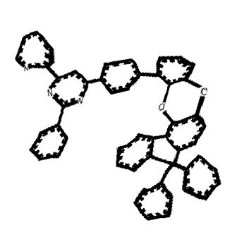 c1ccc(-c2nc(-c3ccc(-c4cccc5c4Oc4c(ccc6c4-c4ccccc4C6(c4ccccc4)c4ccccc4)O5)cc3)cc(-c3ccccn3)n2)cc1